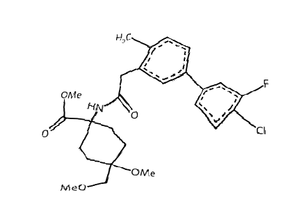 COCC1(OC)CCC(NC(=O)Cc2cc(-c3ccc(Cl)c(F)c3)ccc2C)(C(=O)OC)CC1